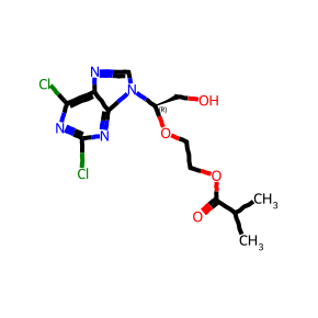 CC(C)C(=O)OCCO[C@H](CO)n1cnc2c(Cl)nc(Cl)nc21